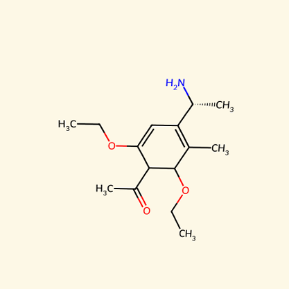 CCOC1=CC([C@@H](C)N)=C(C)C(OCC)C1C(C)=O